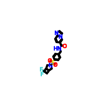 O=C(NCc1ccc(S(=O)(=O)N2CC3CC(F)(F)C3C2)cc1)c1ccc2nccn2c1